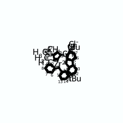 CC1=[C]([Zr+2](=[C](c2ccccc2)c2ccccc2)[CH]2c3cc(C(C)(C)C)ccc3-c3ccc(C(C)(C)C)cc32)C(C)C=C1[Si](C)(C)C.[Cl-].[Cl-]